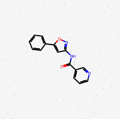 O=C(Nc1cc(-c2ccccc2)on1)c1cccnc1